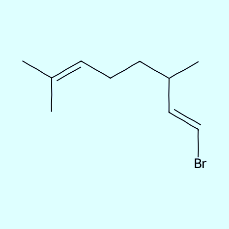 CC(C)=CCCC(C)C=CBr